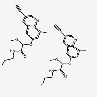 C#Cc1cnc2c(C)cc(OC(SC)C(=O)NCCC)cc2c1.C#Cc1cnc2c(C)cc(OC(SC)C(=O)NCCF)cc2c1